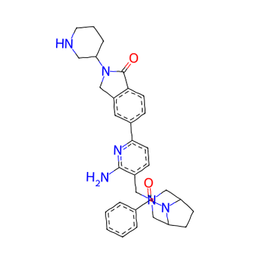 Nc1nc(-c2ccc3c(c2)CN(C2CCCNC2)C3=O)ccc1CN1CC2CCC(C1)N2C(=O)c1ccccc1